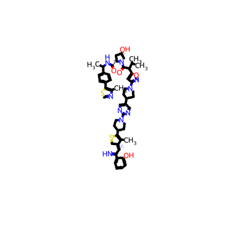 CC1=C(C2CCN(c3ncc(C4CCN(c5cc(C(C(=O)N6C[C@H](O)C[C@H]6C(=O)NC(C)c6ccc(-c7scnc7C)cc6)C(C)C)on5)CC4)cn3)CC2)SC/C1=C\C(=N)c1ccccc1O